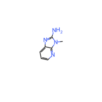 Cn1c(N)nc2cccnc21